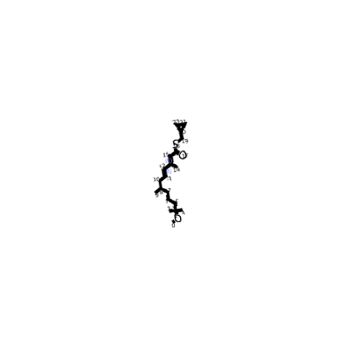 COC(C)(C)CCCC(C)C/C=C/C(C)=C/C(=O)SCC1CC1